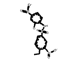 CCc1ccc(S(=O)(=O)Nc2ccc([N+](=O)[O-])cc2Cl)cc1[N+](=O)[O-]